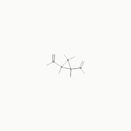 CC1(C)C(C)(C(=O)O)C1(O)C(=O)O